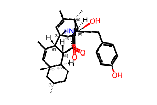 CC1=C[C@@]2(C)[C@H]3C(C)=C[C@@]4(C)C[C@@H](C)CC[C@@H]4[C@H]3C(=O)[C@]23C(=O)N[C@@](O)(Cc2ccc(O)cc2)[C@@H]3[C@H]1C